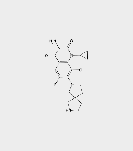 Nn1c(=O)c2cc(F)c(N3CCC4(CCNC4)C3)c(Cl)c2n(C2CC2)c1=O